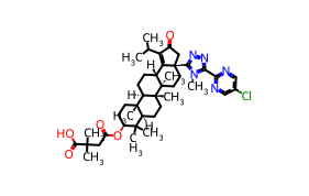 CC(C)C1=C2[C@H]3CC[C@@H]4[C@@]5(C)CC[C@H](OC(=O)CC(C)(C)C(=O)O)C(C)(C)[C@@H]5CC[C@@]4(C)[C@]3(C)CC[C@@]2(c2nnc(-c3ncc(Cl)cn3)n2C)CC1=O